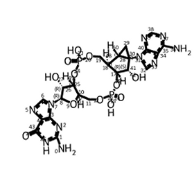 Nc1nc2c(ncn2[C@@H]2O[C@@H]3COP(=O)(O)O[C@@H]4[C@@H](COP(=O)(O)O[C@H]3[C@H]2O)[C@@H]2C[C@]2(n2cnc3c(N)ncnc32)[C@@H]4O)c(=O)[nH]1